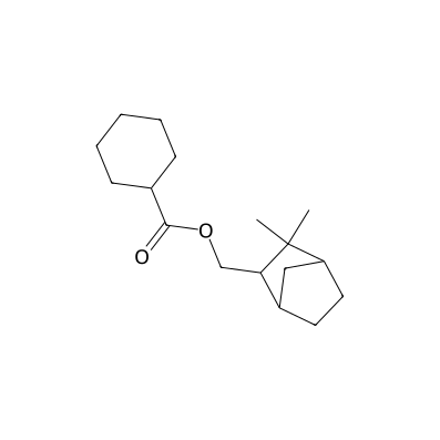 CC1(C)C2CCC(C2)C1COC(=O)C1CCCCC1